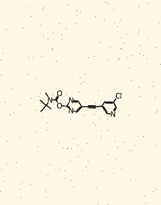 CN(C(=O)Oc1ncc(C#Cc2cncc(Cl)c2)cn1)C(C)(C)C